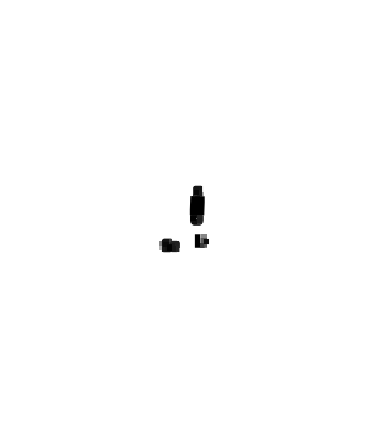 O=S.[Li].[Se]